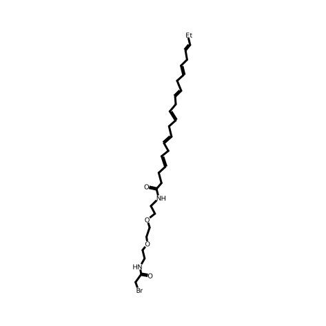 CCC=CCC=CCC=CCC=CCC=CCC=CCCC(=O)NCCOCCOCCNC(=O)CBr